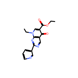 CCOC(=O)c1cn(CC)c2nc(-c3cccnc3)ncc2c1=O